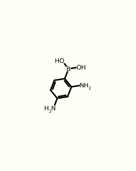 Nc1ccc(B(O)O)c(N)c1